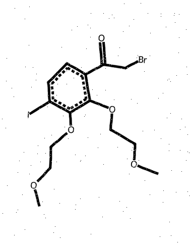 COCCOc1c(I)ccc(C(=O)CBr)c1OCCOC